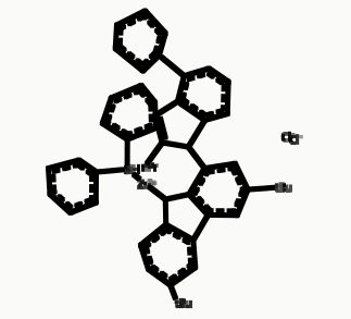 CCCC1=Cc2c(-c3ccccc3)cccc2C1c1cc(C(C)(C)C)cc2c1[CH]([Zr+2][SiH](c1ccccc1)c1ccccc1)c1ccc(C(C)(C)C)cc1-2.[Cl-].[Cl-]